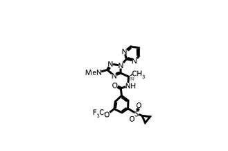 CNc1nc([C@H](C)NC(=O)c2cc(OC(F)(F)F)cc(S(=O)(=O)C3CC3)c2)n(-c2ncccn2)n1